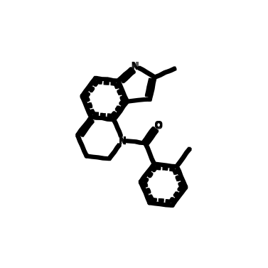 CC1=Cc2c3c(ccc2=N1)=CCCN3C(=O)c1ccccc1C